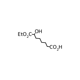 CCOC(=O)C(O)CCCCCC(=O)O